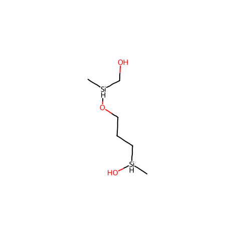 C[SiH](O)CCCO[SiH](C)CO